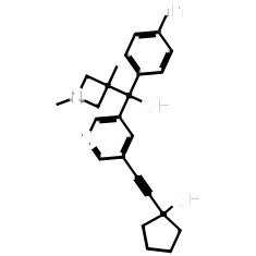 CC(C)c1ccc(C(O)(c2cncc(C#CC3(O)CCCC3)c2)C2(C)CN(C)C2)cc1